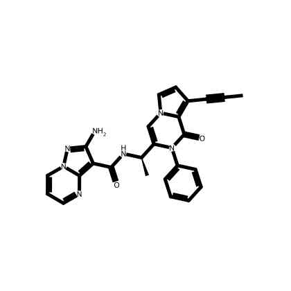 CC#Cc1ccn2cc([C@@H](C)NC(=O)c3c(N)nn4cccnc34)n(-c3ccccc3)c(=O)c12